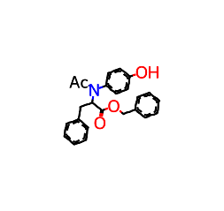 CC(=O)N(c1ccc(O)cc1)C(Cc1ccccc1)C(=O)OCc1ccccc1